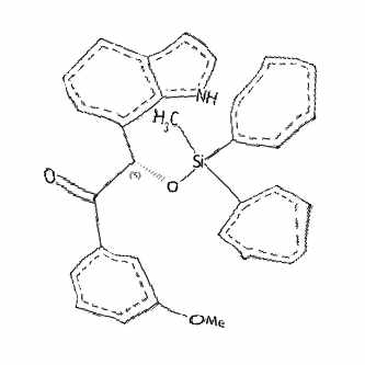 COc1cccc(C(=O)[C@@H](O[Si](C)(c2ccccc2)c2ccccc2)c2cccc3cc[nH]c23)c1